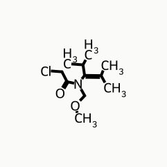 COCN(C(=O)CCl)C(=C(C)C)C(C)C